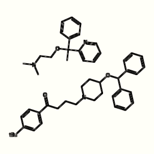 CC(C)(C)c1ccc(C(=O)CCCN2CCC(OC(c3ccccc3)c3ccccc3)CC2)cc1.CN(C)CCOC(C)(c1ccccc1)c1ccccn1